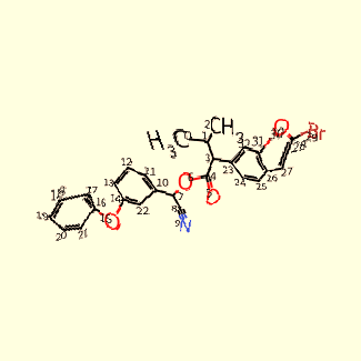 CC(C)C(C(=O)OC(C#N)c1cccc(Oc2ccccc2)c1)c1ccc2cc(Br)oc2c1